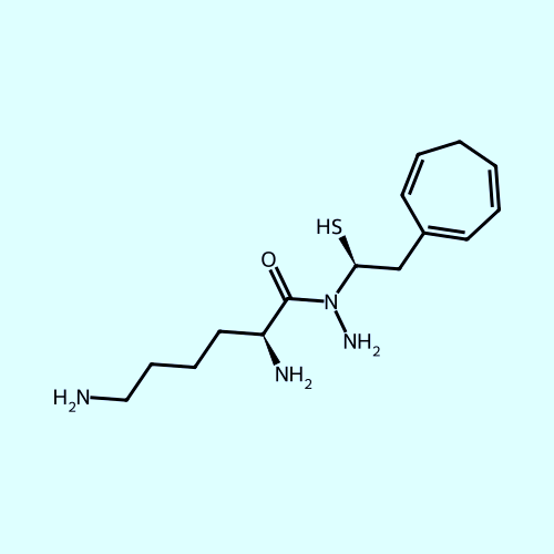 NCCCC[C@H](N)C(=O)N(N)[C@@H](S)CC1=CC=CCC=C1